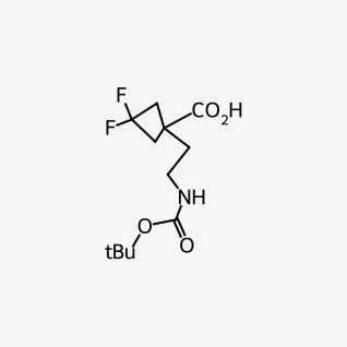 CC(C)(C)OC(=O)NCCC1(C(=O)O)CC(F)(F)C1